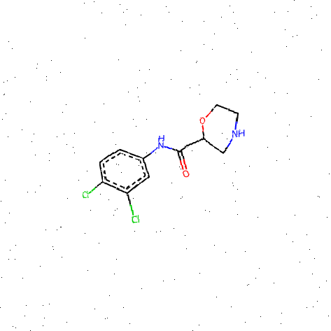 O=C(Nc1ccc(Cl)c(Cl)c1)C1CNCCO1